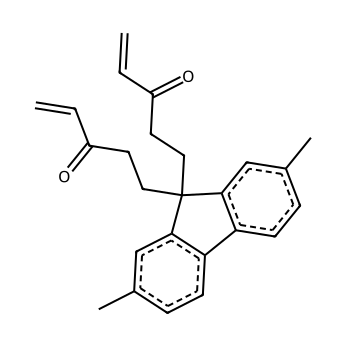 C=CC(=O)CCC1(CCC(=O)C=C)c2cc(C)ccc2-c2ccc(C)cc21